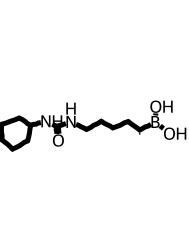 O=C(NCCCC[CH]B(O)O)NC1CCCCC1